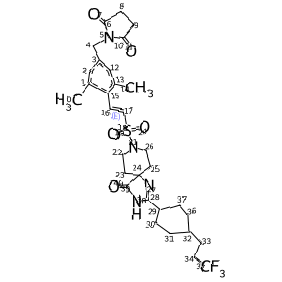 Cc1cc(CN2C(=O)CCC2=O)cc(C)c1/C=C/S(=O)(=O)N1CCC2(CC1)N=C(C1CCC(CCC(F)(F)F)CC1)NC2=O